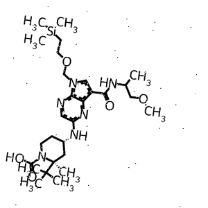 COCC(C)NC(=O)c1cn(COCC[Si](C)(C)C)c2ncc(N[C@H]3CCN(C(=O)O)[C@](C)(C(C)(C)C)C3)nc12